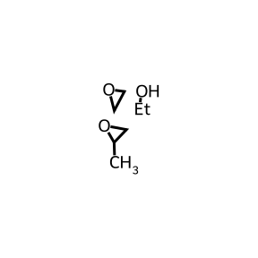 C1CO1.CC1CO1.CCO